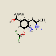 COC(=O)c1cc(/C=C(/C)N)c(N)c(OC(F)F)c1